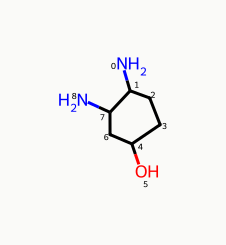 NC1CCC(O)CC1N